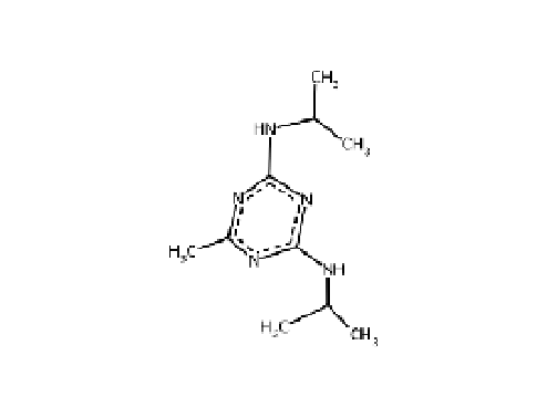 Cc1nc(NC(C)C)nc(NC(C)C)n1